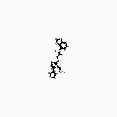 CCn1c(SCC(=O)Nc2cccc3c2OCO3)nnc1C1C=CSC1